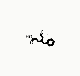 C=CCC(CCC(=O)O)Cc1ccccc1